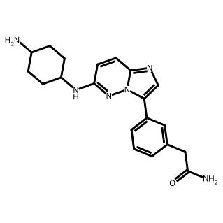 NC(=O)Cc1cccc(-c2cnc3ccc(NC4CCC(N)CC4)nn23)c1